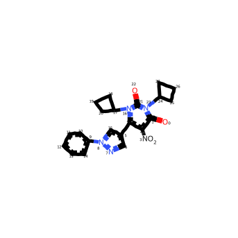 O=c1c([N+](=O)[O-])c(-c2cnn(-c3ccccc3)c2)n(C2CCC2)c(=O)n1C1CCC1